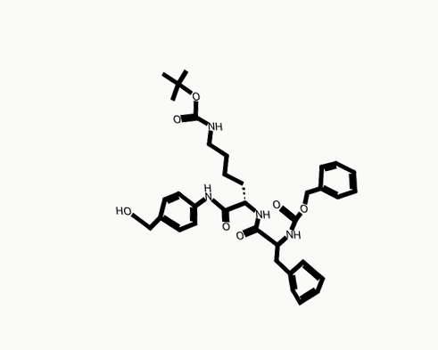 CC(C)(C)OC(=O)NCCCC[C@H](NC(=O)C(Cc1ccccc1)NC(=O)OCc1ccccc1)C(=O)Nc1ccc(CO)cc1